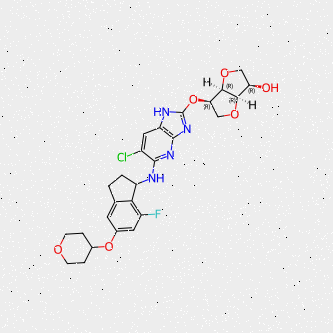 O[C@@H]1CO[C@H]2[C@@H]1OC[C@H]2Oc1nc2nc(NC3CCc4cc(OC5CCOCC5)cc(F)c43)c(Cl)cc2[nH]1